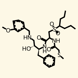 CCCC(CCC)S(=O)(=O)CC(NC(=O)CSC)C(=O)N[C@@H](Cc1ccccc1)[C@H](O)CNCc1cccc(OC)c1